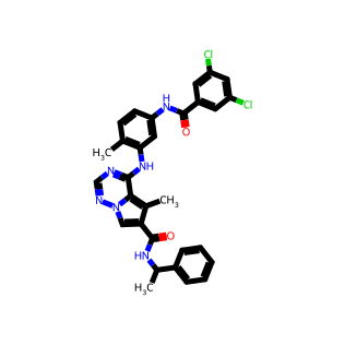 Cc1ccc(NC(=O)c2cc(Cl)cc(Cl)c2)cc1Nc1ncnn2cc(C(=O)NC(C)c3ccccc3)c(C)c12